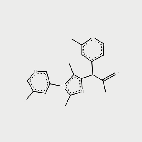 CC(=O)C(c1ccnc(Cl)c1)c1nc(C)n(-c2cncc(F)c2)c1C